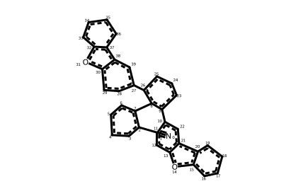 N#Cc1ccccc1-c1c(-c2ccc3oc4ccccc4c3c2)cccc1-c1ccc2oc3ccccc3c2c1